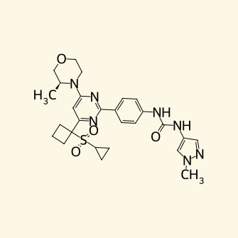 C[C@H]1COCCN1c1cc(C2(S(=O)(=O)C3CC3)CCC2)nc(-c2ccc(NC(=O)Nc3cnn(C)c3)cc2)n1